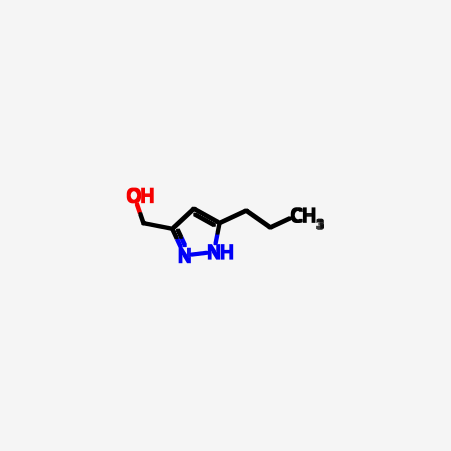 CCCc1cc(CO)n[nH]1